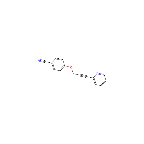 N#Cc1ccc(OCC#Cc2ccccn2)cc1